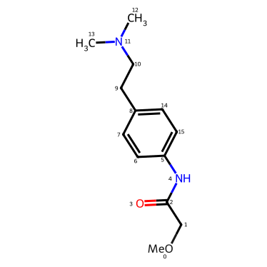 COCC(=O)Nc1ccc(CCN(C)C)cc1